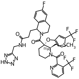 CCC[C@H]1N(C(=O)c2ncccc2C(F)(F)F)CCC[C@@]1(Oc1csc(C(F)(F)F)c1)C(=O)N1CCc2cc(F)ccc2C1CCC(=O)NCc1nn[nH]n1